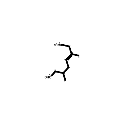 CCCCCCC(C)=CCC(C)CC=O